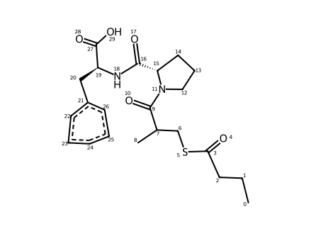 CCCC(=O)SCC(C)C(=O)N1CCC[C@H]1C(=O)N[C@@H](Cc1ccccc1)C(=O)O